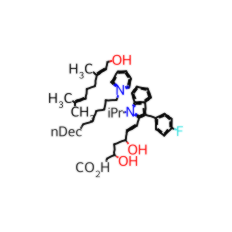 CC(C)=CCC/C(C)=C/CO.CC(C)n1c(/C=C/[C@@H](O)C[C@@H](O)CC(=O)O)c(-c2ccc(F)cc2)c2ccccc21.CCCCCCCCCCCCCCCC[n+]1ccccc1